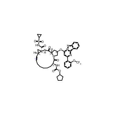 O=C(N[C@H]1CCCCC/C=C\[C@@H]2C[C@@]2(C(=O)NS(=O)(=O)C2CC2)NC(=O)[C@@H]2C[C@@H](Oc3cc(-c4ccccc4OC(F)(F)F)nc4c5ccccc5nn34)CN2C1=O)OC1CCCC1